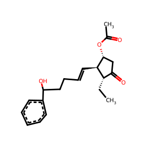 CC[C@H]1C(=O)C[C@@H](OC(C)=O)[C@@H]1C=CCCC(O)c1ccccc1